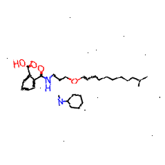 CC(C)CCCCCCCCCOCCCNC(=O)c1ccccc1C(=O)O.CN(C)C1CCCCC1